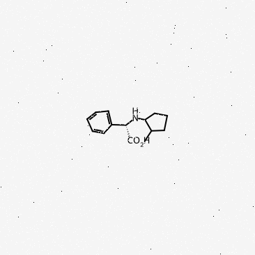 CC1CCCC1N[C@H](C(=O)O)c1ccccc1